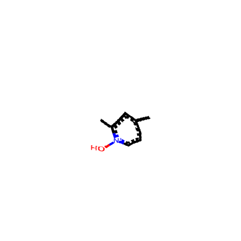 Cc1cc[n+](O)c(C)c1